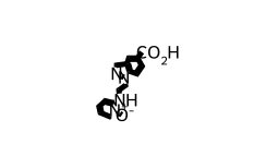 O=C(O)c1ccc2c(cnn2CCNc2cccc[n+]2[O-])c1